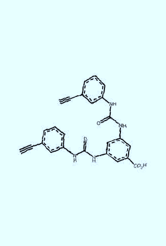 C#Cc1cccc(NC(=O)Nc2cc(NC(=O)Nc3cccc(C#C)c3)cc(C(=O)O)c2)c1